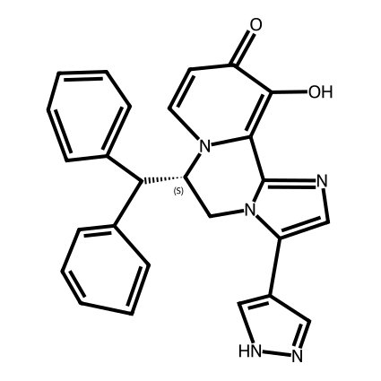 O=c1ccn2c(c1O)-c1ncc(-c3cn[nH]c3)n1C[C@@H]2C(c1ccccc1)c1ccccc1